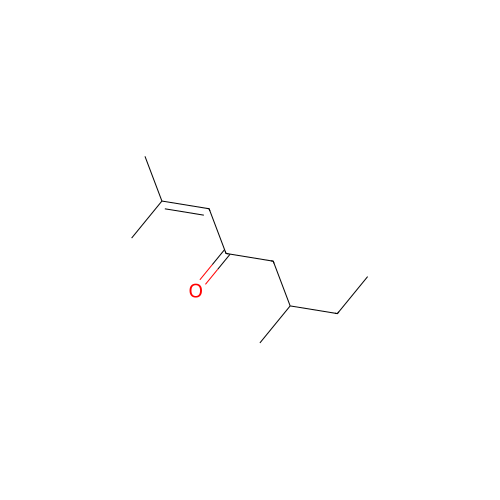 CCC(C)CC(=O)C=C(C)C